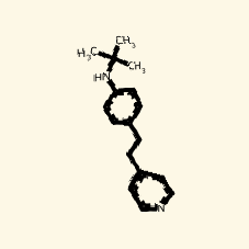 CC(C)(C)Nc1ccc(CCc2ccncc2)cc1